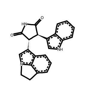 O=C1NC(=O)[C@@H](c2cn3c4c(cccc24)CC3)[C@@H]1c1c[nH]c2ccccc12